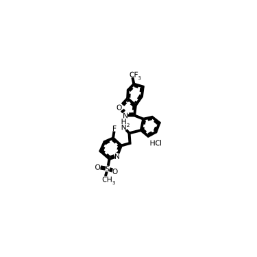 CS(=O)(=O)c1ccc(F)c(CC(N)c2ccccc2-c2noc3cc(C(F)(F)F)ccc23)n1.Cl